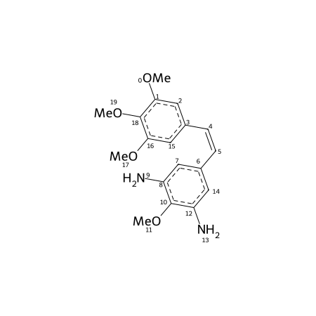 COc1cc(/C=C\c2cc(N)c(OC)c(N)c2)cc(OC)c1OC